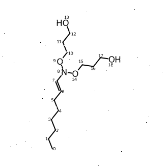 CCCCCCC=CN(OCCCO)OCCCO